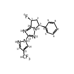 F[C@H]1C[C@@H](c2ccccc2)n2nc(-n3cc(C(F)(F)F)cn3)nc21